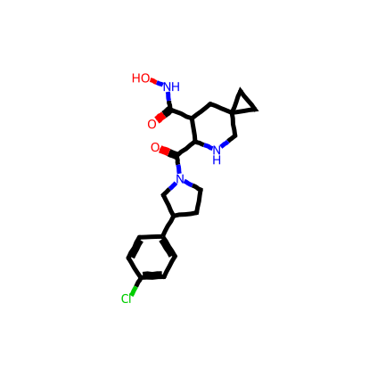 O=C(NO)C1CC2(CC2)CNC1C(=O)N1CCC(c2ccc(Cl)cc2)C1